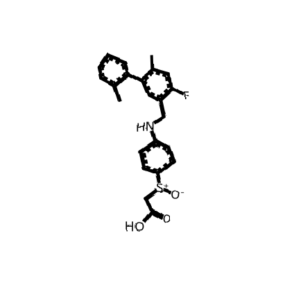 Cc1ccccc1-c1cc(CNc2ccc([S+]([O-])CC(=O)O)cc2)c(F)cc1C